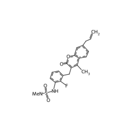 C=CCc1ccc2c(C)c(Cc3cccc(NS(=O)(=O)NC)c3F)c(=O)oc2c1